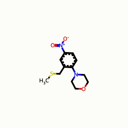 CSCc1cc([N+](=O)[O-])ccc1N1CCOCC1